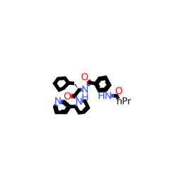 CCCC(=O)Nc1cccc(C(=O)N[C@@H](CC2CCCCC2)C(=O)N2CC=CCC2c2cccnc2)c1